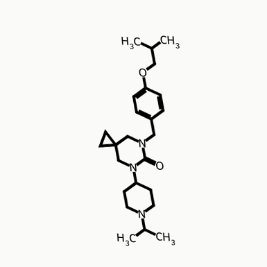 CC(C)COc1ccc(CN2CC3(CC3)CN(C3CCN(C(C)C)CC3)C2=O)cc1